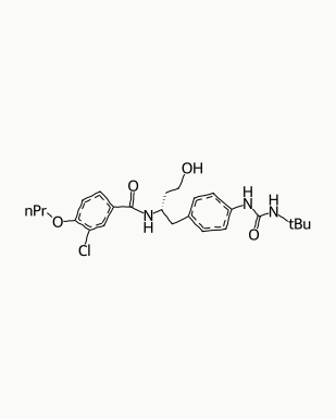 CCCOc1ccc(C(=O)N[C@H](CCO)Cc2ccc(NC(=O)NC(C)(C)C)cc2)cc1Cl